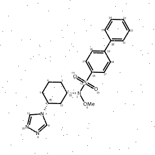 CON([C@H]1CCC[C@@H](n2cnnc2)C1)S(=O)(=O)c1ccc(-c2ccccc2)cc1